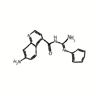 NC(=Nc1ccccc1)NC(=O)c1ccnc2cc(N)ccc12